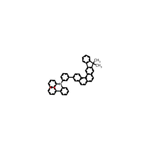 CC1(C)c2ccccc2-c2cc3c(ccc4ccc5cc(-c6cccc(N(c7ccccc7)c7ccccc7-c7ccccc7)c6)ccc5c43)cc21